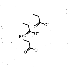 CCC(=O)[O-].CCC(=O)[O-].CCC(=O)[O-].[B+3]